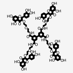 O=C(NCCOCCOc1c(-c2ccc(O)c(O)c2)oc2cc(O)cc(O)c2c1=O)c1cc(C(=O)NCCOCCOc2c(-c3ccc(O)c(O)c3)oc3cc(O)cc(O)c3c2=O)cc(-c2cc(C(=O)NCCOCCOc3c(-c4ccc(O)c(O)c4)oc4cc(O)cc(O)c4c3=O)cc(C(=O)NCCOCCOc3c(-c4ccc(O)c(O)c4)oc4cc(O)cc(O)c4c3=O)c2)c1